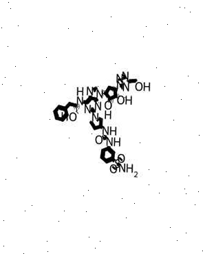 NS(=O)(=O)c1cccc(NC(=O)NC2CCN(c3nc(N[C@H](CO)Cc4ccccc4)c4ncn([C@@H]5C[C@H](n6nnc(CO)n6)[C@@H](O)[C@H]5O)c4n3)C2)c1